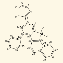 C[Si]1(C)c2nc(-c3ccccc3)nc(-c3ccccc3)c2-c2ccc3ccccc3c21